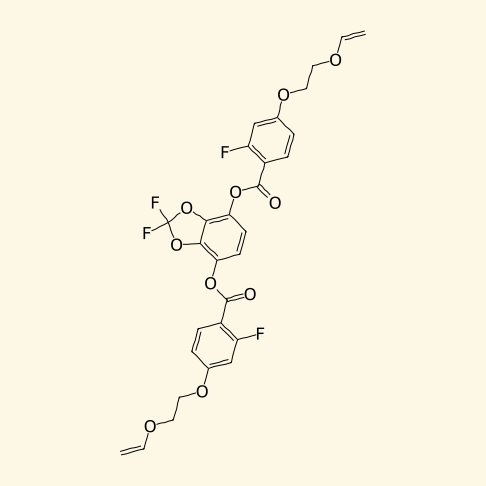 C=COCCOc1ccc(C(=O)Oc2ccc(OC(=O)c3ccc(OCCOC=C)cc3F)c3c2OC(F)(F)O3)c(F)c1